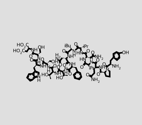 CC[C@H](C)[C@H](NC(=O)[C@@H](NC(=O)[C@H](CC(N)=O)NC(=O)[C@@H](NC(=O)[C@H](CCC(N)=O)NC(=O)[C@@H]1CCCN1C(=O)[C@@H](N)Cc1ccc(O)cc1)C(C)C)C(C)C)C(=O)N[C@@H](CC(N)=O)C(=O)N[C@@H](Cc1ccccc1)C(=O)N[C@H](C(=O)N[C@H](C(=O)N[C@@H](CO)C(=O)N[C@@H](Cc1c[nH]c2ccccc12)C(=O)N[C@@H](CO)C(=O)N[C@@H](CC(=O)O)C(=O)O)[C@@H](C)O)[C@@H](C)O